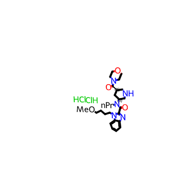 CCCN(C(=O)c1nc2ccccc2n1CCCCOC)[C@@H]1CNC[C@H](C(=O)N2CCOCC2)C1.Cl.Cl